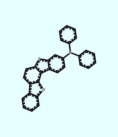 c1ccc(N(c2ccccc2)c2ccc3c(c2)sc2ccc4c5ccccc5oc4c23)cc1